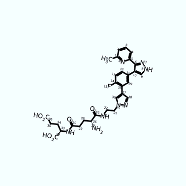 Cc1cccc(-c2n[nH]cc2-c2ccc(F)c(-c3cnn(CCNC(=O)[C@H](N)CCC(=O)N[C@H](CCC(=O)O)C(=O)O)c3)c2)n1